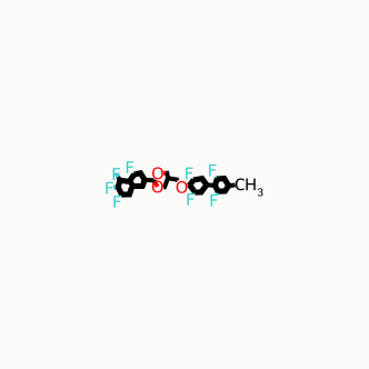 Cc1cc(F)c(-c2cc(F)c(OCC3COC(c4cc(F)c5c(F)c(F)c(F)cc5c4)OC3)c(F)c2)c(F)c1